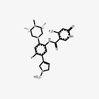 C[C@@H]1CN(c2cc(F)c(C3=CCN(C(=O)O)C3)cc2NC(=O)c2c[nH]c(=O)cc2C(F)(F)F)C[C@H](C)N1C